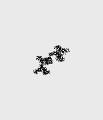 CC1(C)c2ccccc2-c2ccc(-c3cc(N(c4ccc(-c5cccc(-c6ccc7c(c6)-c6ccc(-c8cc(-c9ccc(N(c%10ccc(-c%11ccccc%11)cc%10)c%10ccc%11c(c%10)C(C)(C)c%10ccccc%10-%11)cc9)cc9c8sc8ccccc89)cc6C7(c6ccccc6)c6ccccc6)c5)cc4)c4ccc5c(c4)C(C)(C)c4ccccc4-5)cc4c3sc3ccccc34)cc21